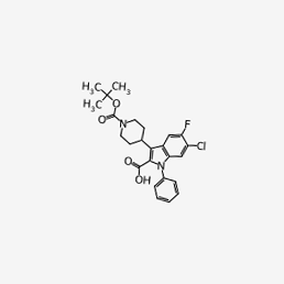 CC(C)(C)OC(=O)N1CCC(c2c(C(=O)O)n(-c3ccccc3)c3cc(Cl)c(F)cc23)CC1